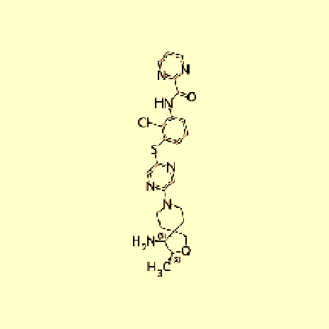 C[C@@H]1OCC2(CCN(c3cnc(Sc4cccc(NC(=O)c5ncccn5)c4Cl)cn3)CC2)[C@@H]1N